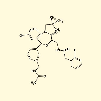 CC(=O)NCc1cccc(C2OC(CNC(=O)Cc3ccccc3F)C(=O)N(CC(C)(C)C)c3ccc(Cl)cc32)c1